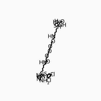 Nc1ncnc2c1nc(Sc1cc(Cl)cc(Cl)c1)n2CCCCCCNC(=O)CCOCCOCCOCCOCCNCCCCC[C@H]1SC[C@@H]2NC(=O)N[C@@H]21